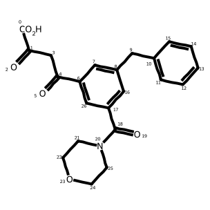 O=C(O)C(=O)CC(=O)c1cc(Cc2ccccc2)cc(C(=O)N2CCOCC2)c1